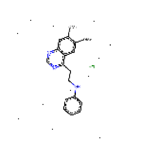 COc1cc2ncnc(CCNc3ccccc3)c2cc1OC.Cl